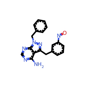 Nc1ncnc2c1c(Cc1cccc(N=O)c1)nn2Cc1ccccc1